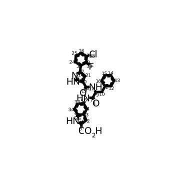 O=C(O)c1cc2cc(NC(=O)C(Cc3ccccc3)NC(=O)c3cc(-c4cccc(Cl)c4F)n[nH]3)ccc2[nH]1